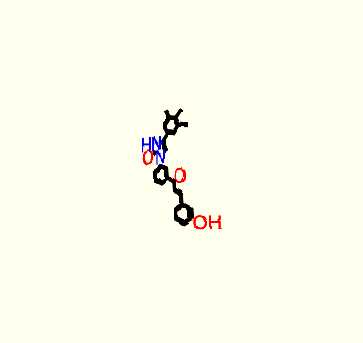 Cc1cc(-c2cn(-c3cccc(C(=O)C=Cc4cccc(O)c4)c3)c(=O)[nH]2)cc(C)c1C